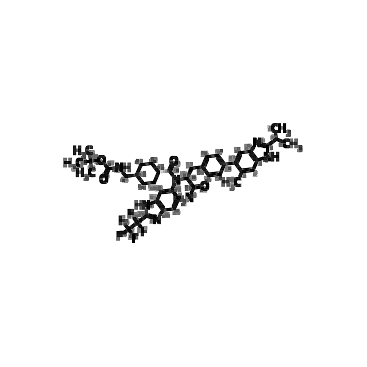 Cc1cc2[nH]c(C(C)C)nc2cc1-c1ccc(C[C@@H](C(N)=O)N(c2ccc3nc(C(F)(F)C(F)(F)F)[nH]c3c2)C(=O)[C@H]2CC[C@H](CNC(=O)OC(C)(C)C)CC2)cc1